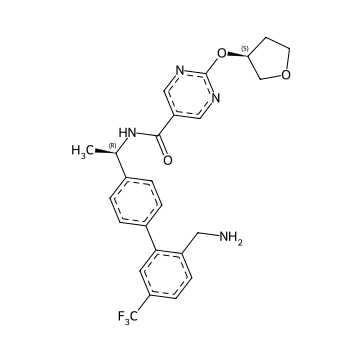 C[C@@H](NC(=O)c1cnc(O[C@H]2CCOC2)nc1)c1ccc(-c2cc(C(F)(F)F)ccc2CN)cc1